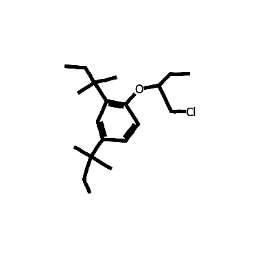 CCC(CCl)Oc1ccc(C(C)(C)CC)cc1C(C)(C)CC